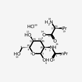 CCCC(=O)N[C@H]1C(O)O[C@H](CO)[C@@H](O)[C@@H]1OC(=O)[C@@H](N)C(C)C.Cl